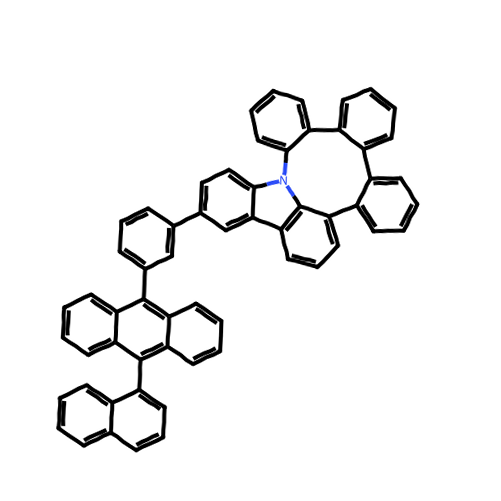 c1cc(-c2ccc3c(c2)c2cccc4c5ccccc5c5ccccc5c5ccccc5n3c42)cc(-c2c3ccccc3c(-c3cccc4ccccc34)c3ccccc23)c1